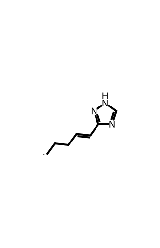 [CH2]CC/C=C/c1nc[nH]n1